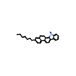 CCCCCCCc1ccc2c(ccc3c2ccc2c4ccccc4n(C)c32)c1